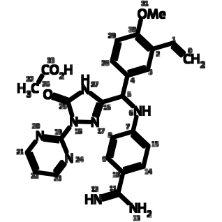 C=Cc1cc(C(Nc2ccc(C(=N)N)cc2)c2nn(-c3ncccn3)c(=O)[nH]2)ccc1OC.CC(=O)O